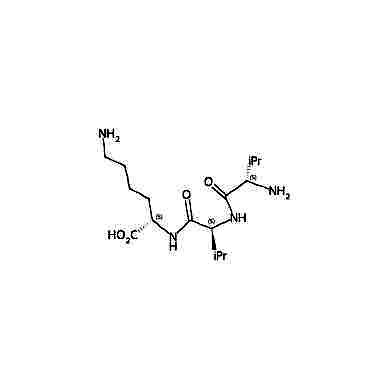 CC(C)[C@H](N)C(=O)N[C@H](C(=O)N[C@@H](CCCCN)C(=O)O)C(C)C